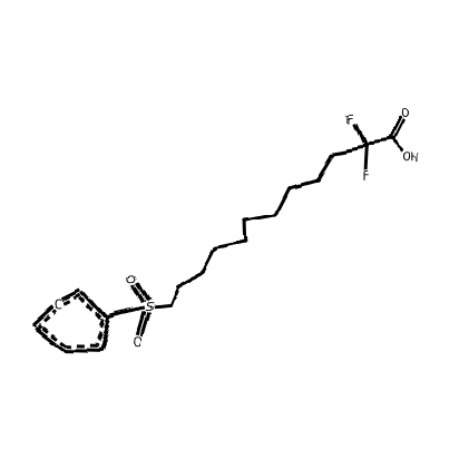 O=C(O)C(F)(F)CCCCCCCCCCS(=O)(=O)c1ccccc1